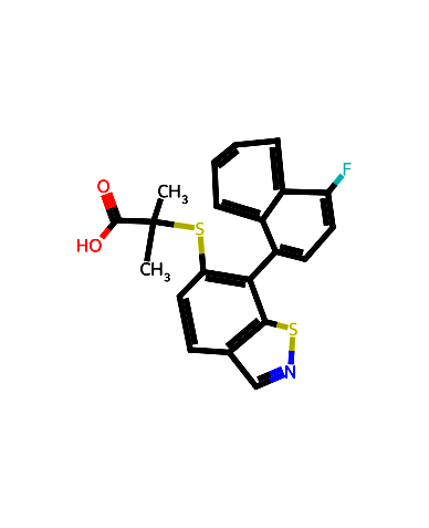 CC(C)(Sc1ccc2cnsc2c1-c1ccc(F)c2ccccc12)C(=O)O